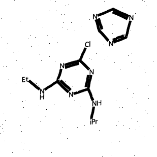 CCNc1nc(Cl)nc(NC(C)C)n1.c1ncncn1